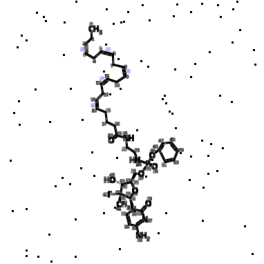 CC/C=C\C/C=C\C/C=C\C/C=C\C/C=C\CCCC(=O)NCCNP(=O)(OC[C@H]1O[C@@H](n2ccc(N)nc2=O)[C@](C)(F)[C@@H]1O)Oc1ccccc1